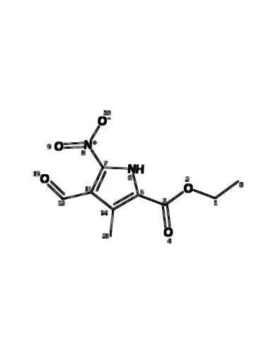 CCOC(=O)c1[nH]c([N+](=O)[O-])c(C=O)c1C